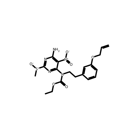 C=CCOc1cccc(CCN(C(=O)OCC)c2nc([S+](C)[O-])nc(N)c2[N+](=O)[O-])c1